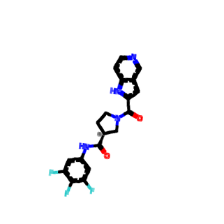 O=C(Nc1cc(F)c(F)c(F)c1)[C@H]1CCN(C(=O)c2cc3cnccc3[nH]2)C1